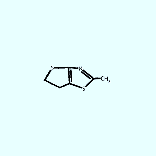 Cc1nc2c(s1)CCS2